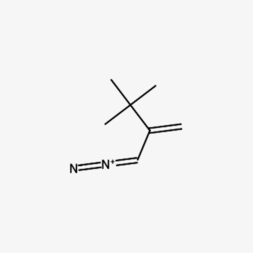 C=C(C=[N+]=[N-])C(C)(C)C